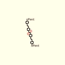 CCCCCc1ccc(/C=C/c2ccc3c(c2)oc2c4ccc(/C=C/c5ccc(CCCCC)cc5)cc4oc32)cc1